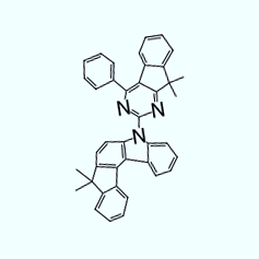 CC1(C)c2ccccc2-c2c1ccc1c2c2ccccc2n1-c1nc(-c2ccccc2)c2c(n1)C(C)(C)c1ccccc1-2